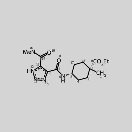 CCOC(=O)[C@]1(C)CC[C@H](NC(=O)c2nc[nH]c2C(=O)NC)CC1